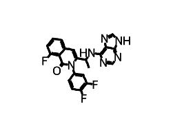 CC(Nc1ncnc2[nH]cnc12)c1cc2cccc(F)c2c(=O)n1-c1ccc(F)c(F)c1